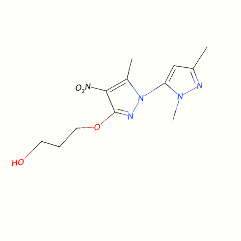 Cc1cc(-n2nc(OCCCO)c([N+](=O)[O-])c2C)n(C)n1